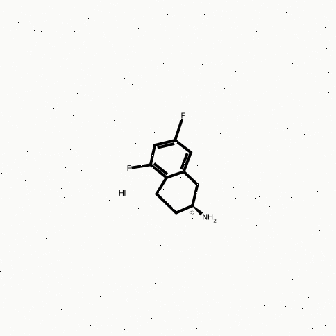 I.N[C@H]1CCc2c(F)cc(F)cc2C1